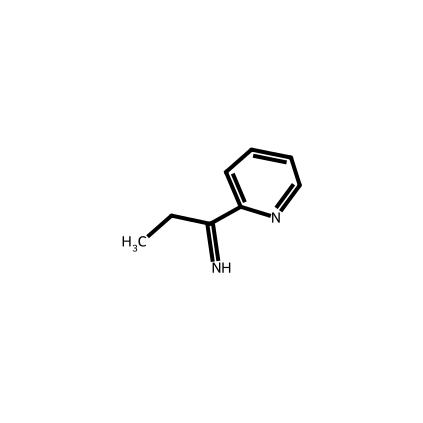 CCC(=N)c1ccccn1